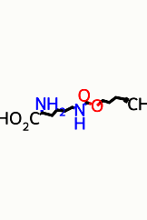 C#CCCCOC(=O)NCCCC[C@H](N)C(=O)O